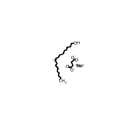 CCCCCCCC/C=C\CCCCCCCCO.O=C([O-])CCC(=O)[O-].[Na+].[Na+]